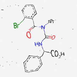 CCCN(C(=O)NC(C(=O)O)c1ccccc1)C(=O)c1ccccc1Br